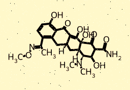 CO/N=C(\C)c1ccc(O)c2c1C[C@H]1C[C@H]3[C@H](N(C)C)C(O)C(C(N)=O)C(=O)[C@@]3(O)C(O)=C1C2=O